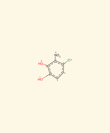 O=[N+]([O-])c1c(Cl)ccc(O)c1O